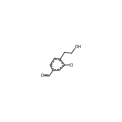 O=Cc1ccc(CCO)c(Cl)c1